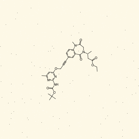 CCOC(=O)CC(C)N1CC(=O)N(C)c2ccc(C#CCOc3cc(C)nc(NC(=O)OC(C)(C)C)n3)cc2C1=O